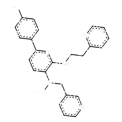 N#Cc1ccc(-c2ccc(N(C=O)Cc3cccnc3)c(NCCc3ccccn3)n2)cc1